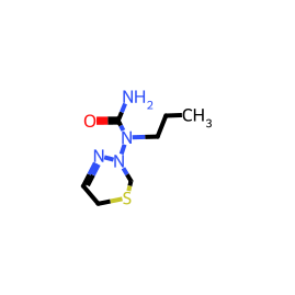 CCCN(C(N)=O)N1CSCC=N1